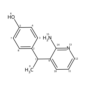 CC(c1ccc(O)cc1)c1cccnc1N